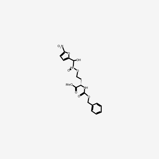 COC(=O)[C@H](CCO[PH](=O)C(O)c1ccc([N+](=O)[O-])o1)NC(=O)OCc1ccccc1